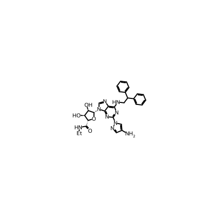 CCNC(=O)[C@H]1O[C@@H](n2cnc3c(NCC(c4ccccc4)c4ccccc4)nc(-n4cc(N)cn4)nc32)[C@H](O)[C@@H]1O